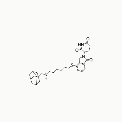 O=C1CCC(N2Cc3c(SCCCCCCNCC45CC6CC(CC(C6)C4)C5)cccc3C2=O)C(=O)N1